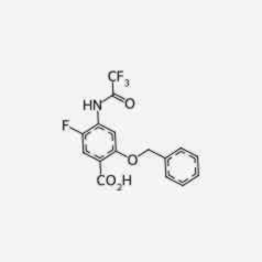 O=C(O)c1cc(F)c(NC(=O)C(F)(F)F)cc1OCc1ccccc1